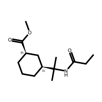 CCC(=O)NC(C)(C)[C@H]1CCC[C@@H](C(=O)OC)C1